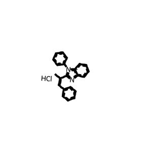 C/C(=C/c1ccccc1)c1nc2ccccc2n1-c1ccccc1.Cl